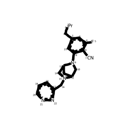 CC(C)Cc1cc(F)c(C#N)c(N2CC3CC2CN3Cc2cccnn2)c1